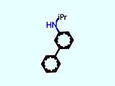 CC(C)Nc1cccc(-c2ccccc2)c1